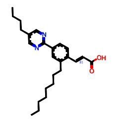 CCCCCCCCc1cc(-c2ncc(CCCC)cn2)ccc1/C=C/C(=O)O